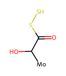 O=C(SS)[CH](O)[Mo]